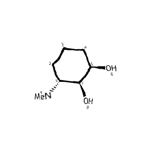 CN[C@@H]1CCC[C@@H](O)[C@H]1O